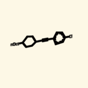 CCCCCCCCC1CCC(C#Cc2ccc(Cl)cc2)CC1